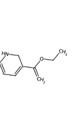 C=C(OCC)C1=C[C]=CNC1